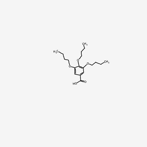 CCCCOc1cc(C(=O)O)cc(OCCCC)c1OCCCC